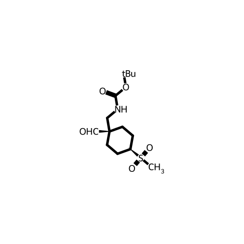 CC(C)(C)OC(=O)NC[C@]1(C=O)CC[C@@H](S(C)(=O)=O)CC1